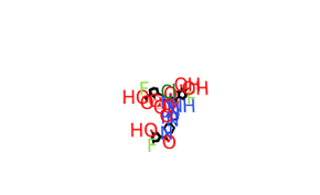 O=C(O)c1c(F)ccc2c1OB(O)C(NC(=O)C(NC(=O)N1CCN(C3CCN(C(=O)c4cc(O)cc(F)c4)CC3)C1=O)c1cc(F)c(O)c(O)c1Cl)C2